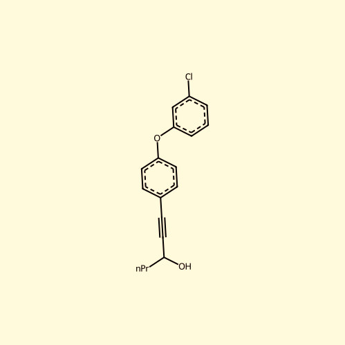 CCCC(O)C#Cc1ccc(Oc2cccc(Cl)c2)cc1